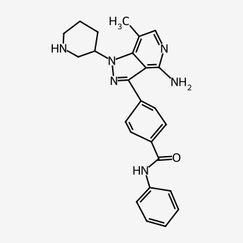 Cc1cnc(N)c2c(-c3ccc(C(=O)Nc4ccccc4)cc3)nn(C3CCCNC3)c12